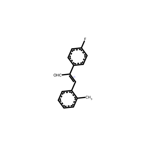 Cc1ccccc1/C=C(\C=O)c1ccc(F)cc1